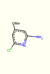 COc1cc(N)nc(Cl)c1